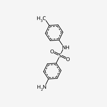 Cc1ccc(NS(=O)(=O)c2ccc(N)cc2)cc1